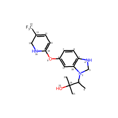 CC(N1CNc2ccc(OC3=CC=C(C(F)(F)F)CN3)cc21)C(C)(C)O